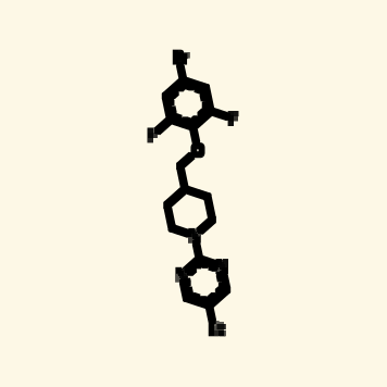 CCc1cnc(N2CCC(COc3c(F)cc(Br)cc3F)CC2)nc1